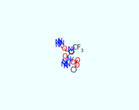 CC(OC(=O)OC1CCCCC1)N(C(=O)c1ccc(C(F)(F)F)nc1COCc1nnn(C)n1)c1nnnn1C